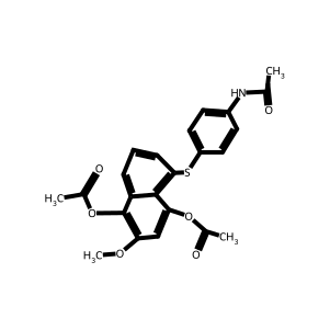 COc1cc(OC(C)=O)c2c(Sc3ccc(NC(C)=O)cc3)cccc2c1OC(C)=O